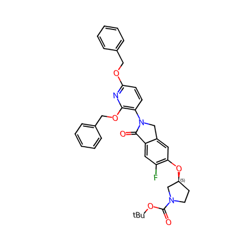 CC(C)(C)OC(=O)N1CC[C@H](Oc2cc3c(cc2F)C(=O)N(c2ccc(OCc4ccccc4)nc2OCc2ccccc2)C3)C1